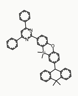 CC1(C)c2ccccc2C(c2ccc3c(c2)[Si](C)(C)c2cc(-c4nc(-c5ccccc5)cc(-c5ccccc5)n4)ccc2O3)c2ccccc21